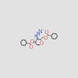 [N-]=[N+]=N[C@H]1C(COC(=O)c2ccccc2)OC=C[C@H]1OC(=O)c1ccccc1